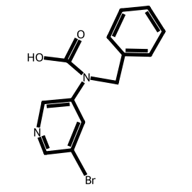 O=C(O)N(Cc1ccccc1)c1cncc(Br)c1